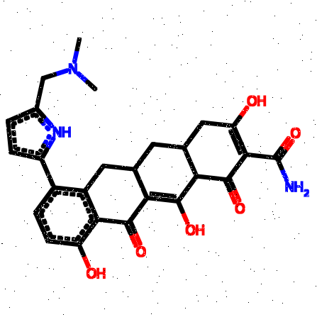 CN(C)Cc1ccc(-c2ccc(O)c3c2CC2CC4CC(O)=C(C(N)=O)C(=O)C4C(O)=C2C3=O)[nH]1